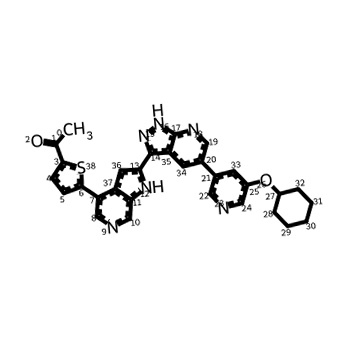 CC(=O)c1ccc(-c2cncc3[nH]c(-c4n[nH]c5ncc(-c6cncc(OC7CCCCC7)c6)cc45)cc23)s1